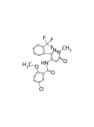 COc1ccc(Cl)cc1C(=O)Nc1cc(=O)n(C)nc1-c1ccccc1C(F)(F)F